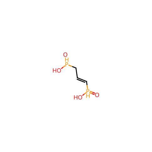 O=[PH](O)C=CC[PH](=O)O